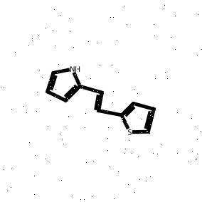 C(=Cc1cccs1)c1ccc[nH]1